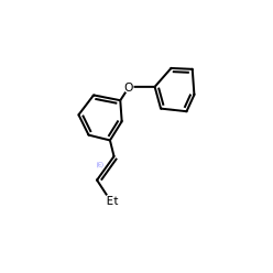 CC/C=C/c1cccc(Oc2ccccc2)c1